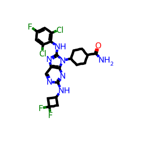 NC(=O)C1CCC(n2c(Nc3c(Cl)cc(F)cc3Cl)nc3cnc(NC4CC(F)(F)C4)nc32)CC1